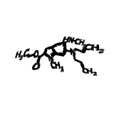 C=CCN(CC=C)c1cc2c(cc1NC)cc(C(=O)OCC)n2C